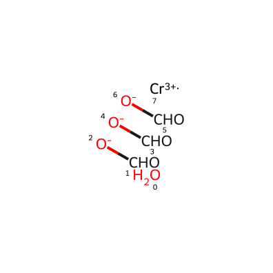 O.O=C[O-].O=C[O-].O=C[O-].[Cr+3]